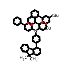 CC(C)(C)c1cc(-c2cccc3cccc(-c4ccccc4N(c4ccc(-c5ccccc5)cc4)c4ccc(-c5cccc6c5-c5ccccc5C6(C)C)cc4)c23)cc(C(C)(C)C)c1